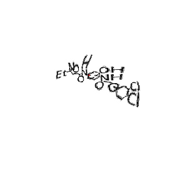 CCc1cc(C(=O)NC23CCC(NC(=O)COc4ccc(Cl)c(Cl)c4)(CC2)C(O)C3)on1